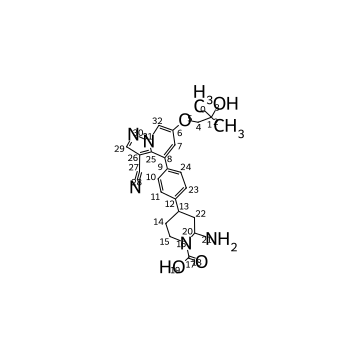 CC(C)(O)COc1cc(-c2ccc(C3CCN(C(=O)O)C(N)C3)cc2)c2c(C#N)cnn2c1